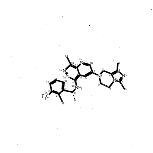 Cc1nc(C)n2c1CN(c1cnc3c(C)nnc(N[C@H](C)c4cccc(C(F)(F)F)c4C)c3c1)CC2